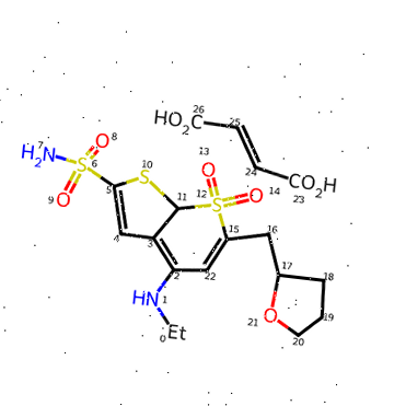 CCNC1=C2C=C(S(N)(=O)=O)SC2S(=O)(=O)C(CC2CCCO2)=C1.O=C(O)C=CC(=O)O